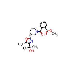 COC(=O)c1ccccc1C(=O)N1CCC[C@@H](c2nc(C(C)(C)O)c(C)o2)C1